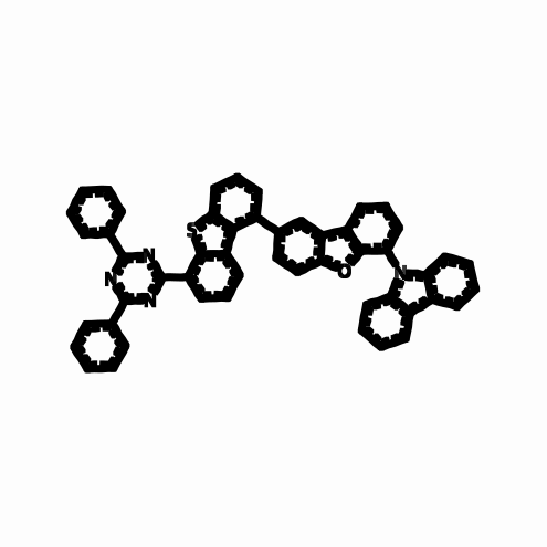 c1ccc(-c2nc(-c3ccccc3)nc(-c3cccc4c3sc3cccc(-c5ccc6oc7c(-n8c9ccccc9c9ccccc98)cccc7c6c5)c34)n2)cc1